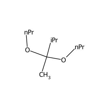 CCCOC(C)(OCCC)C(C)C